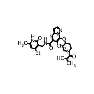 CCc1cc(C)[nH]c(=O)c1CNC(=O)c1nc2ccnn2c(OC2CCN(C(=O)[C@@H](C)O)CC2)c1C